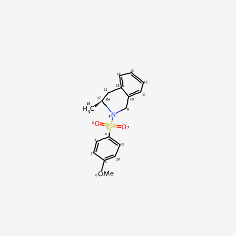 COc1ccc(S(=O)(=O)N2Cc3ccccc3C[C@@H]2C)cc1